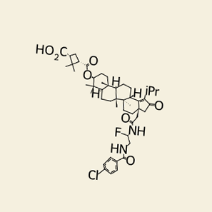 CC(C)C1=C2[C@H]3CC[C@@H]4[C@@]5(C)CC[C@H](OC(=O)[C@H]6C[C@@H](C(=O)O)C6(C)C)C(C)(C)[C@@H]5CC[C@@]4(C)[C@]3(C)CC[C@@]2(CC(=O)NC(F)CNC(=O)c2ccc(Cl)cc2)CC1=O